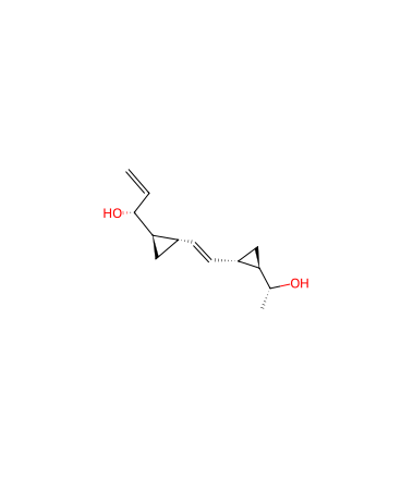 C=C[C@@H](O)[C@@H]1C[C@H]1/C=C/[C@@H]1C[C@H]1[C@@H](C)O